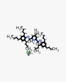 CCCCc1cc(CCCC)c(N=C(C)c2cc(C)cc(C(C)=Nc3c(CCCC)cc(CCCC)cc3CCCC)n2)c(CCCC)c1.[Cl-].[Cl-].[V+2]